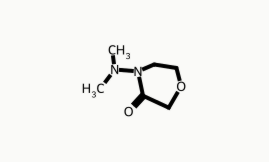 CN(C)N1CCOCC1=O